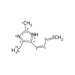 C=C/C=C\c1[nH]c(C)nc1C